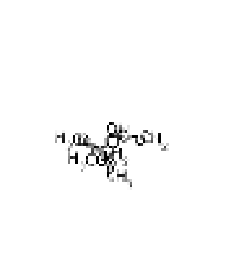 CCOC(CC1CCC(O)C(OCCOC)C1)(OCC)[SiH2]OCCOC